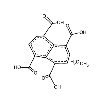 O.O.O=C(O)c1ccc(C(=O)O)c2c(C(=O)O)ccc(C(=O)O)c12